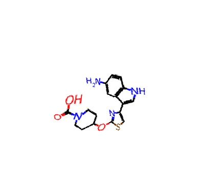 Nc1ccc2[nH]cc(-c3csc(OC4CCN(C(=O)O)CC4)n3)c2c1